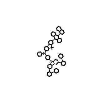 CC1(C)c2cc(-c3c4ccccc4c(-c4cccc5ccccc45)c4ccccc34)ccc2-c2ccc(N(c3ccccc3)c3ccc(N4c5ccc(-c6ccccc6-c6ccccc6)cc5C5C=C(c6ccccc6-c6ccccc6)C=CC54)cc3)cc21